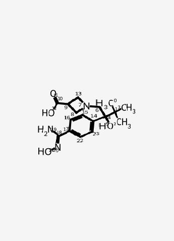 CC(C)(C)C(O)(CN1CC(C(=O)O)C1)c1ccc(C(N)=NO)cc1